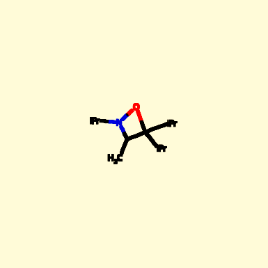 CC(C)N1OC(C(C)C)(C(C)C)C1C